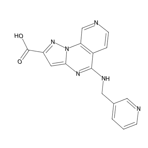 O=C(O)c1cc2nc(NCc3cccnc3)c3ccncc3n2n1